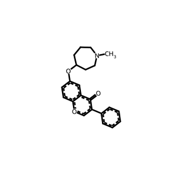 CN1CCCC(Oc2ccc3occ(-c4ccccc4)c(=O)c3c2)CC1